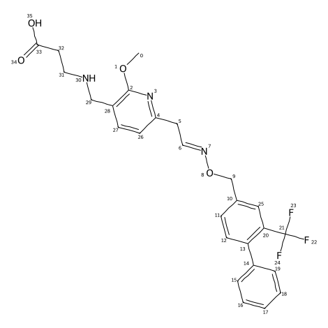 COc1nc(CC=NOCc2ccc(-c3ccccc3)c(C(F)(F)F)c2)ccc1CNCCC(=O)O